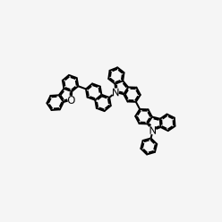 c1ccc(-n2c3ccccc3c3cc(-c4ccc5c6ccccc6n(-c6cccc7cc(-c8cccc9c8oc8ccccc89)ccc67)c5c4)ccc32)cc1